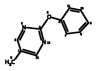 Cc1cnc(Oc2ccccc2)nc1